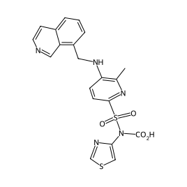 Cc1nc(S(=O)(=O)N(C(=O)O)c2cscn2)ccc1NCc1cccc2ccncc12